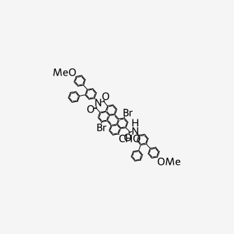 COc1ccc(-c2ccc(NC(=O)c3cc(Br)c4c5ccc6c7c(cc(Br)c(c8ccc(C=O)c3c84)c75)C(=O)N(c3ccc(-c4ccc(OC)cc4)c(-c4ccccc4)c3)C6=O)cc2-c2ccccc2)cc1